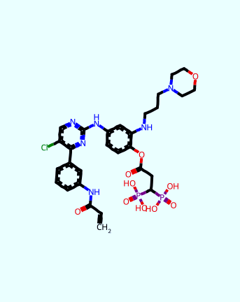 C=CC(=O)Nc1cccc(-c2nc(Nc3ccc(OC(=O)CC(P(=O)(O)O)P(=O)(O)O)c(NCCCN4CCOCC4)c3)ncc2Cl)c1